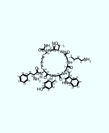 C[C@@H](O)[C@@H]1NC(=O)[C@H](CCCCN)NC(=O)[C@@H](Cc2c[nH]c3ccccc23)NC(=O)[C@H](Cc2ccc(O)cc2)NC(=O)[C@@H](NC(=O)[C@H](N)Cc2ccccc2)CSSC[C@@H](C(N)=O)NC1=O